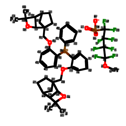 CCCOC(F)(F)C(F)(F)C(F)(F)C(F)(F)S(=O)(=O)[O-].FC(F)(F)C1(C(F)(F)F)OC2C1C1CCC2(COc2ccccc2[S+](c2ccccc2)c2ccccc2OCC23CCC(C2)C2C3OC2(C(F)(F)F)C(F)(F)F)C1